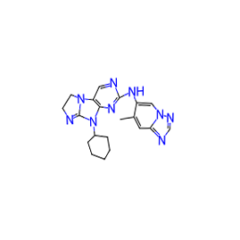 Cc1cc2ncnn2cc1Nc1ncc2c(n1)N(C1CCCCC1)C1=NCCN12